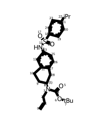 C=CCN(C(=O)OC(C)(C)C)[C@H]1CCc2cc(NS(=O)(=O)c3ccc(C(C)C)cc3)ccc2C1